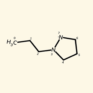 CCCN1CCC[N]1